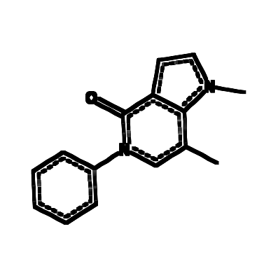 Cc1cn(-c2ccccc2)c(=O)c2ccn(C)c12